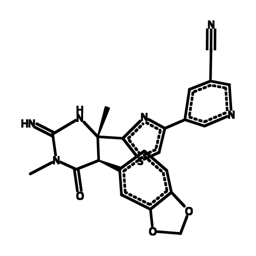 CN1C(=N)N[C@](C)(c2nc(-c3cncc(C#N)c3)cs2)[C@@H](c2ccc3c(c2)OCO3)C1=O